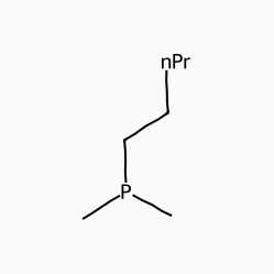 CCCCCP(C)C